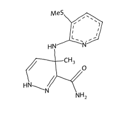 CSc1cccnc1NC1(C)C=CNN=C1C(N)=O